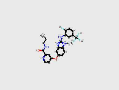 CCCNC(=O)c1cc(Oc2ccc3c(c2)nc(Nc2cc(C(F)(F)F)ccc2F)n3C)ccn1